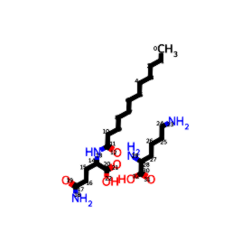 CCCCCCCCCCCC(=O)NC(CCC(N)=O)C(=O)O.NCCCCC(N)C(=O)O